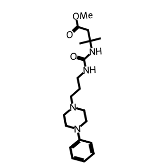 COC(=O)CC(C)(C)NC(=O)NCCCN1CCN(c2ccccc2)CC1